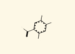 Cc1cc(C(C)(C)C)c(C(N)=O)cc1Cl